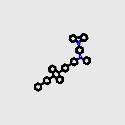 c1ccc(-c2ccc(-c3c4ccccc4c(-c4ccc(-c5ccc(N(c6ccccc6)c6ccc(-n7c8ccccc8c8ccccc87)cc6)cc5)cc4)c4ccccc34)cc2)cc1